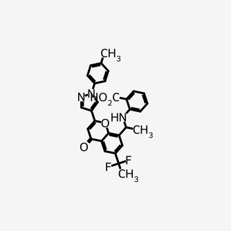 Cc1ccc(-n2cc(-c3cc(=O)c4cc(C(C)(F)F)cc(C(C)Nc5ccccc5C(=O)O)c4o3)cn2)cc1